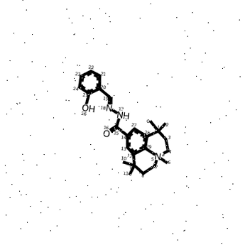 CC1(C)CC[N+]2(C)CCC(C)(C)c3cc(C(=O)N/N=C/c4ccccc4O)cc1c32